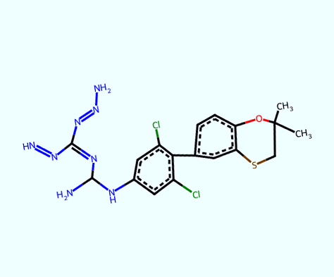 CC1(C)CSc2cc(-c3c(Cl)cc(NC(N)/N=C(\N=N)N=NN)cc3Cl)ccc2O1